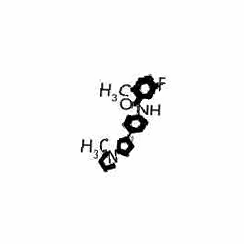 Cc1ccc(F)cc1C(=O)Nc1ccc([C@H]2CCC(N3CCCC3C)C2)cc1